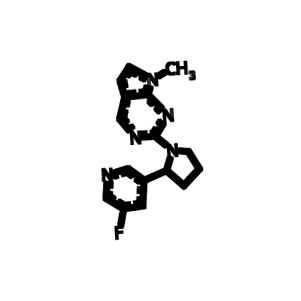 Cn1ccc2cnc(N3CCCC3c3cncc(F)c3)nc21